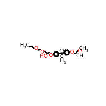 CCCCOCCOCC(O)COc1ccc(C(C)(C)c2ccc(OCC(C)COC)cc2)cc1